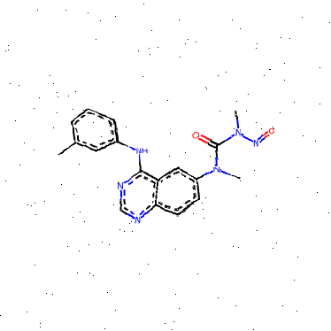 Cc1cccc(Nc2ncnc3ccc(N(C)C(=O)N(C)N=O)cc23)c1